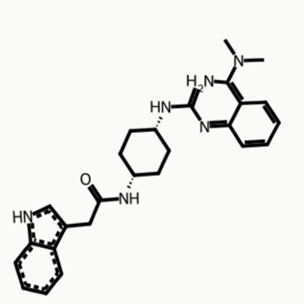 C=C(/N=C1/C=CC=C/C1=C(/N)N(C)C)N[C@H]1CC[C@@H](NC(=O)Cc2c[nH]c3ccccc23)CC1